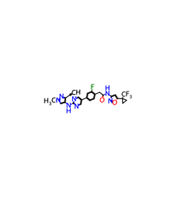 C#Cc1nn(C)cc1Nc1ncc(-c2ccc(CC(=O)Nc3cc(C4(C(F)(F)F)CC4)on3)c(F)c2)cn1